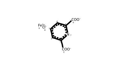 O=C([O-])c1cccc(C(=O)[O-])n1.[Cl-].[Fe+3]